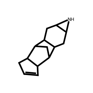 C1=CC2C3CC(C2C1)C1CC2NC2CC31